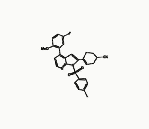 COc1ccc(F)cc1-c1ccnc2c1cc(C1=CCC(C#N)CC1)n2S(=O)(=O)c1ccc(C)cc1